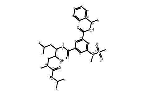 CC(C)CC(NC(=O)c1cc(C(=O)NC(C)c2ccccc2)cc(N(C)S(C)(=O)=O)c1)C(O)CC(C)C(=O)NC(C)C